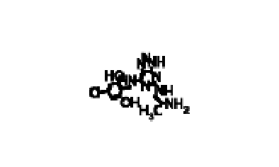 CC(N)CNc1nc(NCc2c(O)cc(Cl)cc2O)c2nn[nH]c2n1